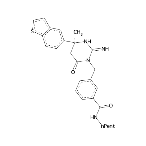 CCCCCNC(=O)c1cccc(CN2C(=N)NC(C)(c3ccc4sccc4c3)CC2=O)c1